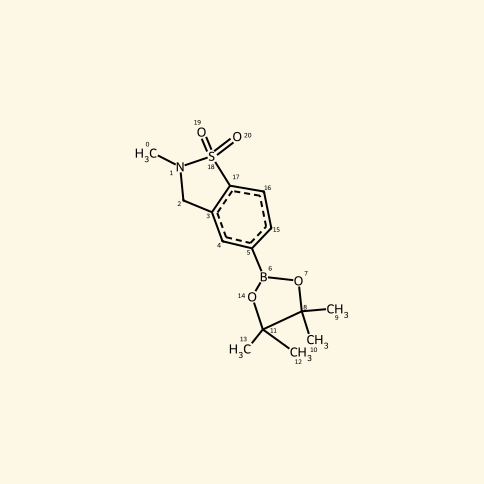 CN1Cc2cc(B3OC(C)(C)C(C)(C)O3)ccc2S1(=O)=O